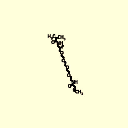 COCC(=O)NCCOCCOCCOCCOCC(F)CNC(=O)C(C)C